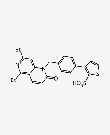 CCc1cc2c(ccc(=O)n2Cc2ccc(-c3ccsc3S(=O)(=O)O)cc2)c(CC)n1